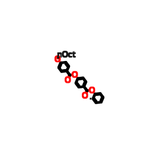 CCCCCCCCOc1ccc(C(=O)Oc2ccc(C(=O)Oc3[c]cccc3)cc2)cc1